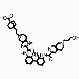 Cn1c(C(=O)Nc2cccc(-c3cccc(NC(=O)c4cc5c(cn4)CN(CCCO)CC5)c3Cl)c2Cl)nc2c1CCN(CCC13CCC(C(=O)O)(CC1)C3)C2